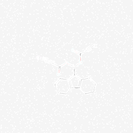 C#CC(=O)[O][Ti+]([O]C(=O)C#C)[CH]1C2=C(CCCC2)C2=C1CCCC2.[Cl-]